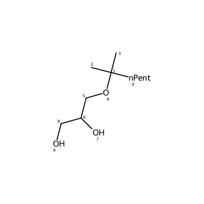 CCCCCC(C)(C)OCC(O)CO